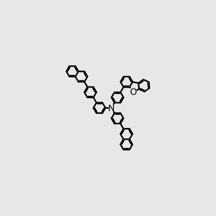 c1cc(-c2ccc(-c3ccc4ccccc4c3)cc2)cc(N(c2ccc(-c3ccc4ccccc4c3)cc2)c2ccc(-c3cccc4c3oc3ccccc34)cc2)c1